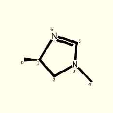 C[C@@H]1CN(C)C=N1